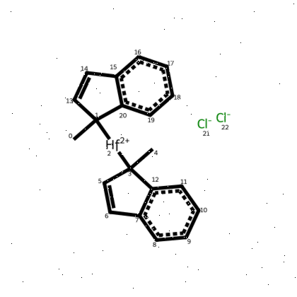 C[C]1([Hf+2][C]2(C)C=Cc3ccccc32)C=Cc2ccccc21.[Cl-].[Cl-]